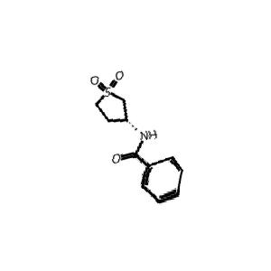 O=C(N[C@@H]1CCS(=O)(=O)C1)c1ccccc1